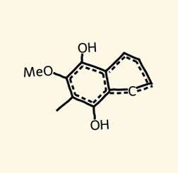 COc1c(C)c(O)c2ccccc2c1O